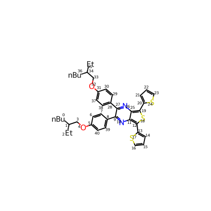 CCCCC(CC)COc1ccc(-c2nc3c(-c4cccs4)sc(-c4cccs4)c3nc2-c2ccc(OCC(CC)CCCC)cc2)cc1